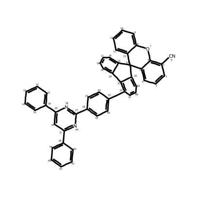 N#Cc1cccc2c1Oc1ccccc1C21c2ccccc2-c2c(-c3ccc(-c4nc(-c5ccccc5)cc(-c5ccccc5)n4)cc3)cccc21